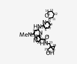 CNc1cc(Nc2cccc([C@H]3CCCCO3)n2)nc2c(C(=O)NCC3(CO)CC3)cnn12